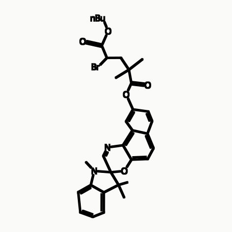 CCCCOC(=O)C(Br)CC(C)(C)C(=O)Oc1ccc2ccc3c(c2c1)N=CC1(O3)N(C)c2ccccc2C1(C)C